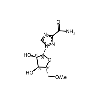 COC[C@H]1O[C@@H](n2cnc(C(N)=O)n2)[C@H](O)[C@@H]1O